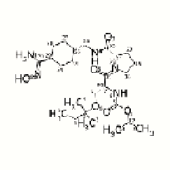 CCC(C)(C)OC[C@@H](NC(=O)OC(C)C)C(=O)N1CCC[C@H]1C(=O)NC[C@H]1CC[C@H](C(N)=NO)CC1